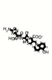 Nc1nc(C(=NO)C(=O)NC2C(=O)N3C(C(=O)[O-])=C(C[n+]4cccc5c(O)cccc54)CS[C@@H]23)no1